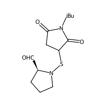 CCC(C)N1C(=O)CC(SN2CCC[C@H]2C=O)C1=O